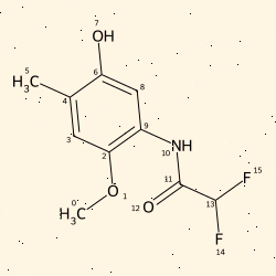 COc1cc(C)c(O)cc1NC(=O)C(F)F